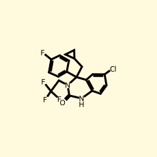 O=C1Nc2ccc(Cl)cc2C(CC2CC2)(c2ccc(F)cc2)N1CC(F)(F)F